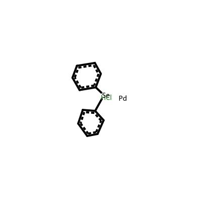 Cl.[Pd].c1ccc([Se]c2ccccc2)cc1